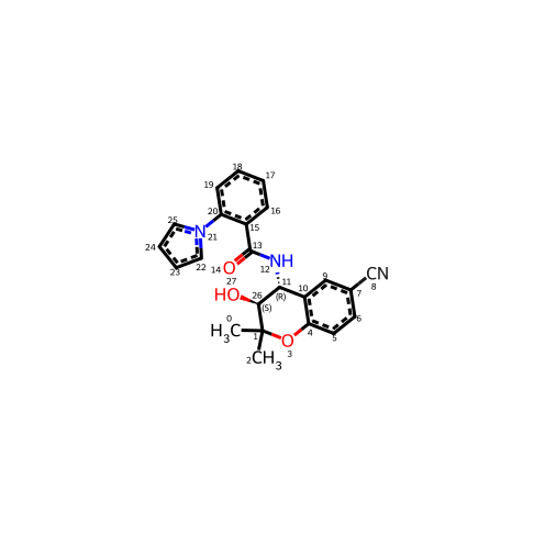 CC1(C)Oc2ccc(C#N)cc2[C@@H](NC(=O)c2ccccc2-n2cccc2)[C@@H]1O